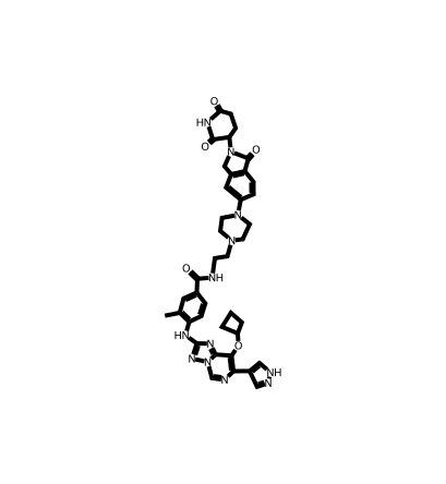 Cc1cc(C(=O)NCCN2CCN(c3ccc4c(c3)CN(C3CCC(=O)NC3=O)C4=O)CC2)ccc1Nc1nc2c(OC3CCC3)c(-c3cn[nH]c3)ncn2n1